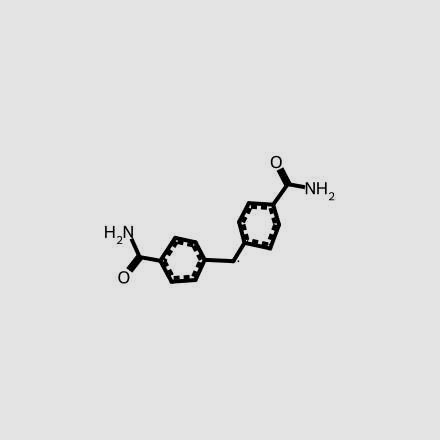 NC(=O)c1ccc([CH]c2ccc(C(N)=O)cc2)cc1